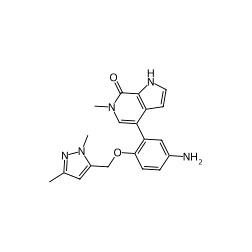 Cc1cc(COc2ccc(N)cc2-c2cn(C)c(=O)c3[nH]ccc23)n(C)n1